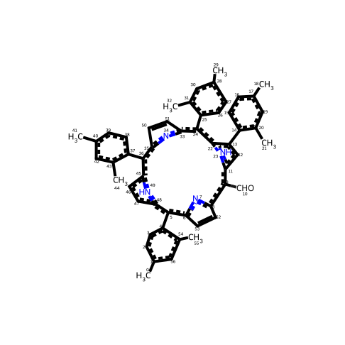 Cc1ccc(-c2c3nc(c(C=O)c4cc(-c5ccc(C)cc5C)c([nH]4)c(-c4ccc(C)cc4C)c4nc(c(-c5ccc(C)cc5C)c5ccc2[nH]5)C=C4)C=C3)c(C)c1